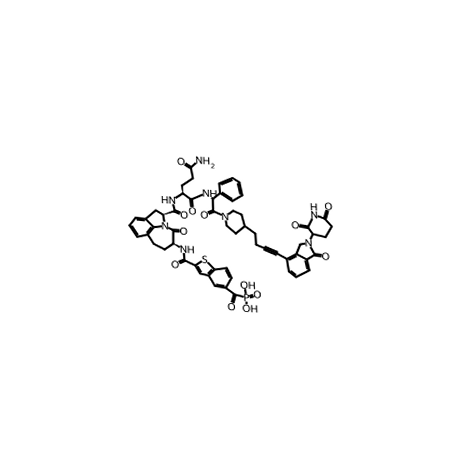 NC(=O)CC[C@H](NC(=O)[C@@H]1Cc2cccc3c2N1C(=O)[C@@H](NC(=O)c1cc2cc(C(=O)P(=O)(O)O)ccc2s1)CC3)C(=O)N[C@H](C(=O)N1CCC(CCC#Cc2cccc3c2CN(C2CCC(=O)NC2=O)C3=O)CC1)c1ccccc1